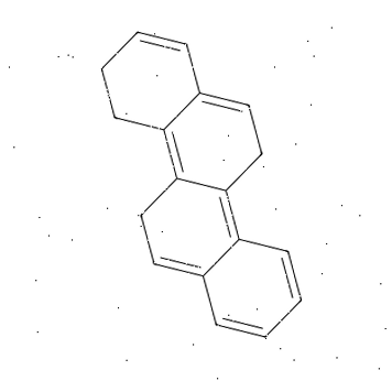 C1=CC2=CCC3=c4ccccc4=CCC3=C2CC1